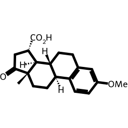 COc1ccc2c(c1)CC[C@H]1[C@@H]3[C@@H](C(=O)O)CC(=O)[C@@]3(C)CC[C@H]21